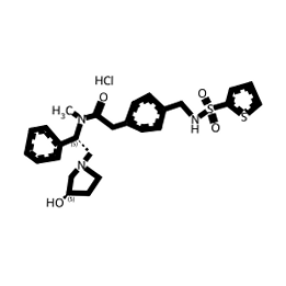 CN(C(=O)Cc1ccc(CNS(=O)(=O)c2cccs2)cc1)[C@H](CN1CC[C@H](O)C1)c1ccccc1.Cl